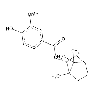 COc1cc(C(=O)O[C@@H]2CC3CCC2(C)C3(C)C)ccc1O